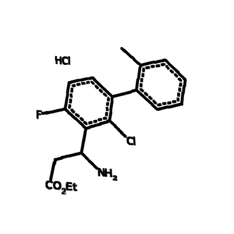 CCOC(=O)CC(N)c1c(F)ccc(-c2ccccc2C)c1Cl.Cl